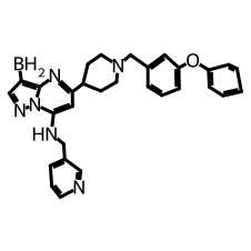 Bc1cnn2c(NCc3cccnc3)cc(C3CCN(Cc4cccc(Oc5ccccc5)c4)CC3)nc12